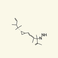 C=CC(C)C(C)(C)[C@H]1CC1C=C=C(C)C(C)(N=N)C(=C)C